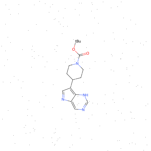 CC(C)(C)OC(=O)N1CCC(c2cnc3cnc[nH]c2-3)CC1